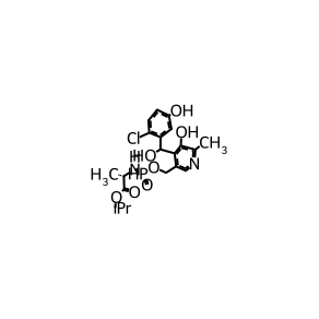 Cc1ncc(CO[PH](=O)N[C@@H](C)C(=O)OC(C)C)c(C(O)c2cc(O)ccc2Cl)c1O